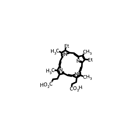 CCC1=C(C)C2=CC3NC(C=C4N=C(C=c5[nH]c(c(C)c5CCC(=O)O)=CC1=N2)C(CCC(=O)O)=C4C)C(C)C3CC